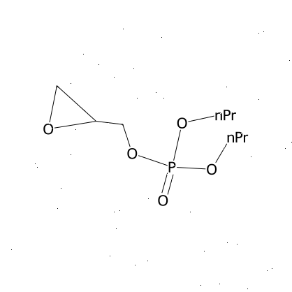 CCCOP(=O)(OCCC)OCC1CO1